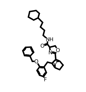 O=C(NCCCCC1CCCCC1)C1COC(C2C3CCC(O3)C2Cc2cc(F)ccc2OCc2ccccc2)=N1